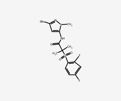 Cn1nc(C(C)(C)C)cc1NC(=O)C(C)(C)S(=O)(=O)c1ccc(F)cc1F